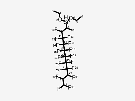 CCO[SiH](OCC)C(C)C(F)C(F)(F)C(F)(F)C(F)(F)C(F)(F)C(F)(F)C(F)(F)C(F)C(F)C(F)F